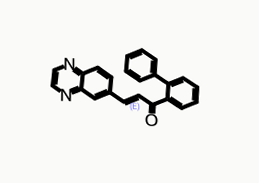 O=C(/C=C/c1ccc2nccnc2c1)c1ccccc1-c1ccccc1